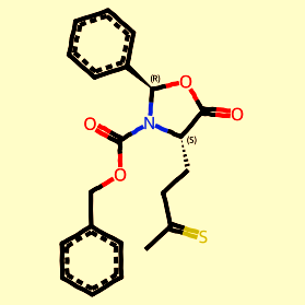 CC(=S)CC[C@H]1C(=O)O[C@H](c2ccccc2)N1C(=O)OCc1ccccc1